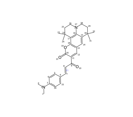 CN(C)c1ccc(/C=C/C(=O)c2cc3cc4c5c(c3oc2=O)C(C)(C)CCN5CCC4(C)C)cc1